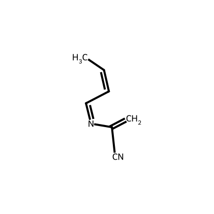 C=C(C#N)/N=C\C=C/C